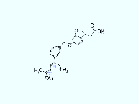 CC/C(=C\C=C(/C)O)c1cccc(COc2ccc3c(c2)OCC3CC(=O)O)c1